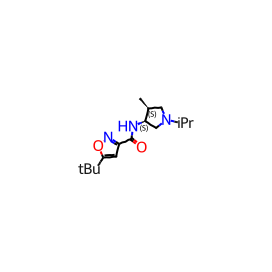 CC(C)N1C[C@H](C)[C@H](NC(=O)c2cc(C(C)(C)C)on2)C1